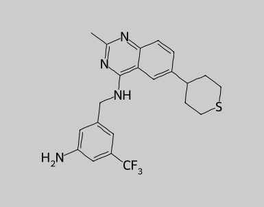 Cc1nc(NCc2cc(N)cc(C(F)(F)F)c2)c2cc(C3CCSCC3)ccc2n1